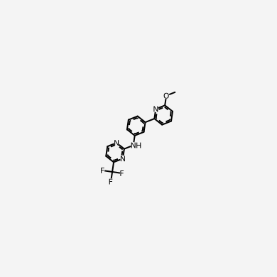 COc1cccc(-c2cccc(Nc3nccc(C(F)(F)F)n3)c2)n1